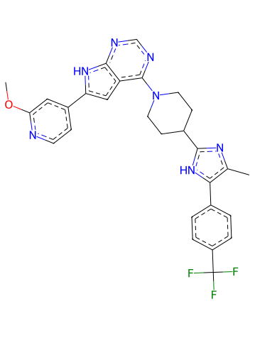 COc1cc(-c2cc3c(N4CCC(c5nc(C)c(-c6ccc(C(F)(F)F)cc6)[nH]5)CC4)ncnc3[nH]2)ccn1